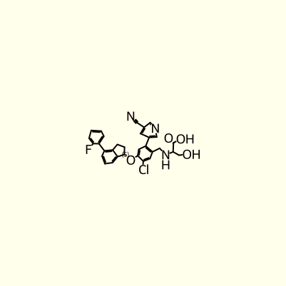 N#Cc1cncc(-c2cc(O[C@H]3CCc4c(-c5ccccc5F)cccc43)c(Cl)cc2CNC(CO)C(=O)O)c1